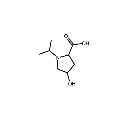 CC(C)N1CC(O)CC1C(=O)O